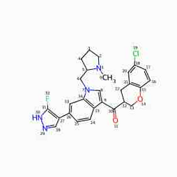 CN1CCCC1Cn1cc(C(=O)C2COc3ccc(Cl)cc3C2)c2ccc(-c3cn[nH]c3F)cc21